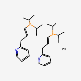 CC(C)P(C=CCc1ccccn1)C(C)C.CC(C)P(C=CCc1ccccn1)C(C)C.[Pd]